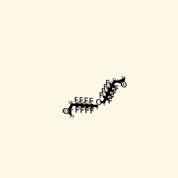 FC(F)(COCC(F)(F)C(F)(F)C(F)(F)C(F)(F)CC1CO1)C(F)(F)C(F)(F)C(F)(F)CC1CO1